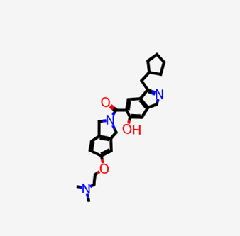 CN(C)CCOc1ccc2c(c1)CN(C(=O)c1cc3c(cc1O)CN=C3CC1CCCC1)C2